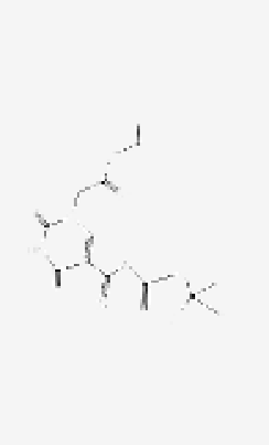 CCOC(=O)Cn1cc(C(=N)NC(=O)OC(C)(C)C)c(=O)[nH]c1=O